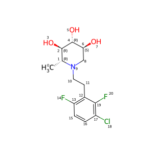 C[C@@H]1[C@@H](O)[C@H](O)[C@@H](O)CN1CCc1c(F)ccc(Cl)c1F